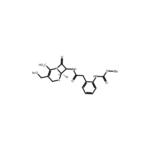 CC(=O)OCC1=C(C(=O)O)N2C(=O)C(NC(=O)Cc3ccccc3NC(=O)OC(C)(C)C)[C@H]2SC1